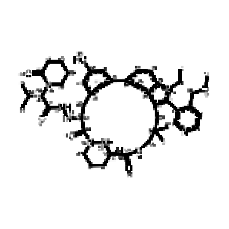 CCn1c(-c2cnccc2COC)c2c3cc(ccc31)-c1cc(O)cc(c1)C[C@H](NNC(=O)[C@H](C(C)C)N1CCCCC1=O)C(=O)N1CCC[C@H](N1)C(=O)OCC(C)(C)C2